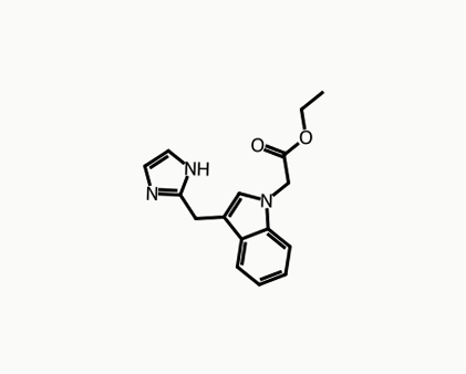 CCOC(=O)Cn1cc(Cc2ncc[nH]2)c2ccccc21